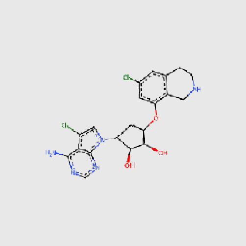 Nc1ncnc2c1c(Cl)cn2C1CC(Oc2cc(Cl)cc3c2CNCC3)[C@@H](O)[C@H]1O